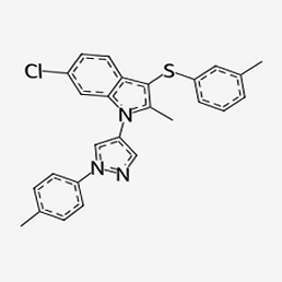 Cc1ccc(-n2cc(-n3c(C)c(Sc4cccc(C)c4)c4ccc(Cl)cc43)cn2)cc1